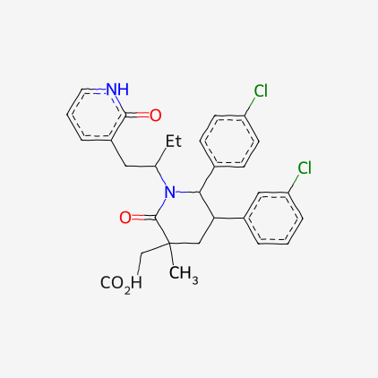 CCC(Cc1ccc[nH]c1=O)N1C(=O)C(C)(CC(=O)O)CC(c2cccc(Cl)c2)C1c1ccc(Cl)cc1